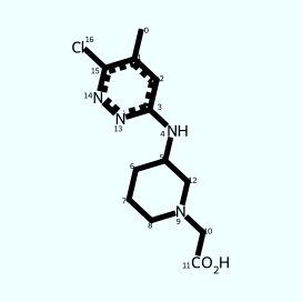 Cc1cc(NC2CCCN(CC(=O)O)C2)nnc1Cl